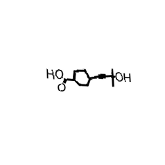 CC(C)(O)C#CC1CCC(C(=O)O)CC1